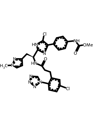 COC(=O)Nc1ccc(-c2nc([C@H](Cc3ccn(C)n3)NC(=O)CCc3cc(Cl)ccc3-n3cnnn3)[nH]c2Cl)cc1